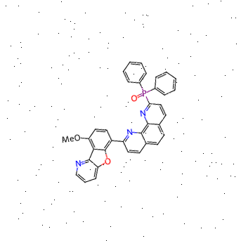 COc1ccc(-c2ccc3ccc4ccc(P(=O)(c5ccccc5)c5ccccc5)nc4c3n2)c2oc3cccnc3c12